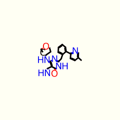 Cc1ccc(-c2ccccc2Cc2nc(NC3CCOCC3)c(C=N)c(=O)[nH]2)nc1